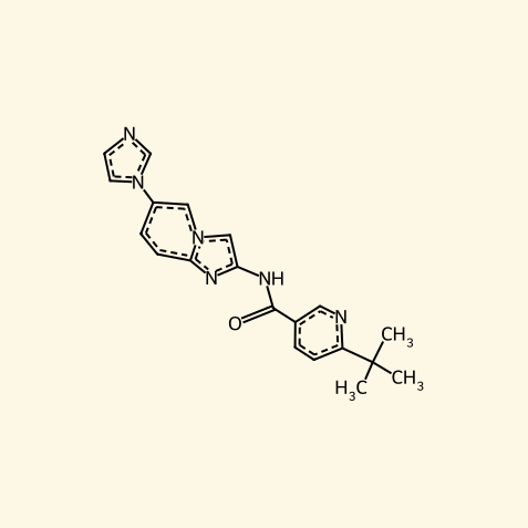 CC(C)(C)c1ccc(C(=O)Nc2cn3cc(-n4ccnc4)ccc3n2)cn1